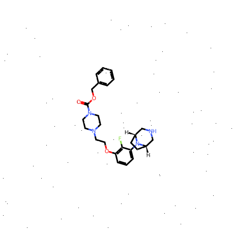 O=C(OCc1ccccc1)N1CCN(CCOc2cccc(N3[C@@H]4CC[C@H]3CNC4)c2F)CC1